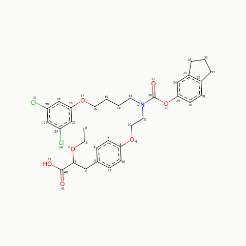 CCOC(Cc1ccc(OCCN(CCCCOc2cc(Cl)cc(Cl)c2)C(=O)Oc2ccc3c(c2)CCC3)cc1)C(=O)O